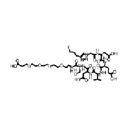 CC(C)[C@H](NC(=O)C(CCC(=O)O)NC(=O)[C@H](CC(=O)O)NC(=O)Cn1cc(CCCF)nn1)C(=O)NC(CC(=O)O)C(=O)N[C@@H](CO)C(=O)NCCOCCOCCOCCOCCC(=O)O